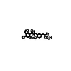 CCC(Cc1ccc(OC)c(CNC(=O)c2ccc(Cl)c3ccoc23)c1)C(=O)O